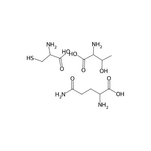 CC(O)C(N)C(=O)O.NC(=O)CCC(N)C(=O)O.NC(CS)C(=O)O